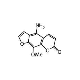 COc1c2occc2c(N)c2ccc(=O)oc12